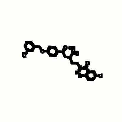 O=C(CC(CCn1nnc2ccc(Cl)cc2c1=O)C(=O)O)c1ccc(OCc2cccc(Cl)c2)cc1